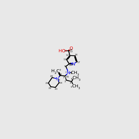 C=C([C@H](CC(C)C)N(C)Cc1cc(C(=O)O)ccn1)N1CCCCC1